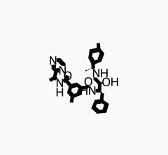 Cc1ccc([C@@H](C)NC[C@@H](O)[C@H](Cc2ccccc2)NC(=O)c2cc(C)cc(C(=O)NC(C)c3cnccn3)c2)cc1